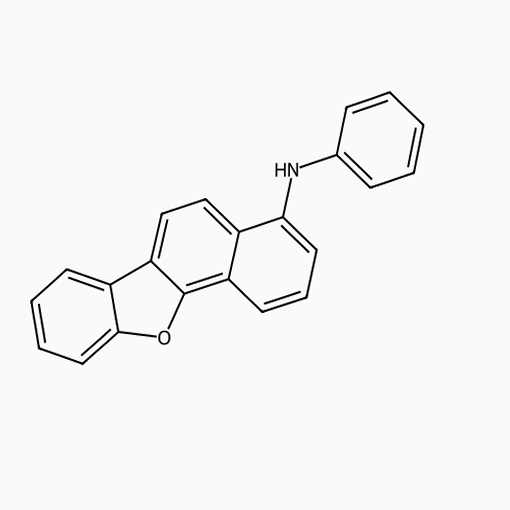 c1ccc(Nc2cccc3c2ccc2c4ccccc4oc32)cc1